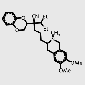 CCC(CC)C(C#N)(CCCC1Cc2cc(OC)c(OC)cc2CN1C)C1COc2ccccc2O1